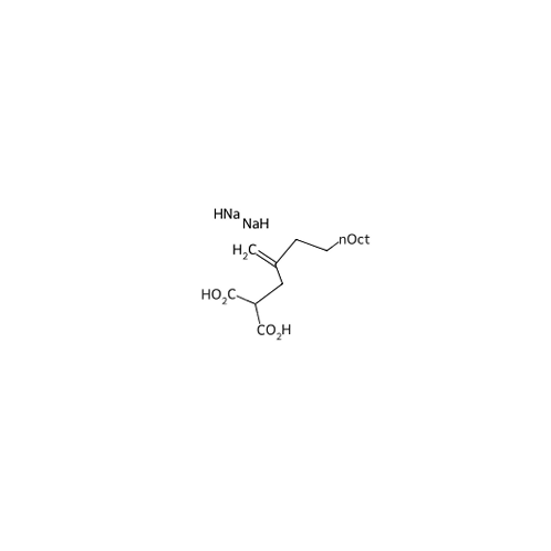 C=C(CCCCCCCCCC)CC(C(=O)O)C(=O)O.[NaH].[NaH]